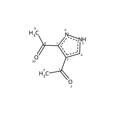 CC(=O)c1c[nH]nc1C(C)=O